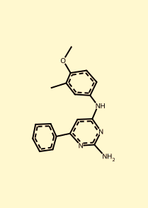 COc1ccc(Nc2cc(-c3ccccc3)nc(N)n2)cc1C